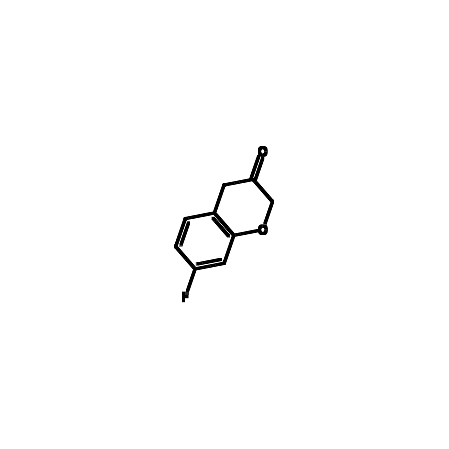 O=C1COc2cc(F)ccc2C1